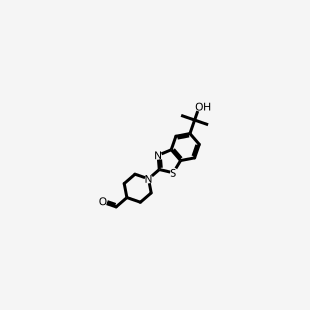 CC(C)(O)c1ccc2sc(N3CCC(C=O)CC3)nc2c1